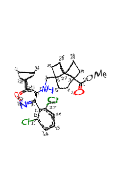 COC(=O)C12CCC3(CNc4c(-c5c(Cl)cccc5Cl)noc4C4CC4)CCC31CC2